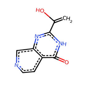 C=C(O)c1nc2cnccc2c(=O)[nH]1